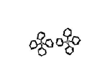 c1ccc([B-](c2ccccc2)(c2ccccc2)c2ccccc2)cc1.c1ccc([B-](c2ccccc2)(c2ccccc2)c2ccccc2)cc1